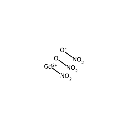 O=[N+]([O-])[Gd+2].O=[N+]([O-])[O-].O=[N+]([O-])[O-]